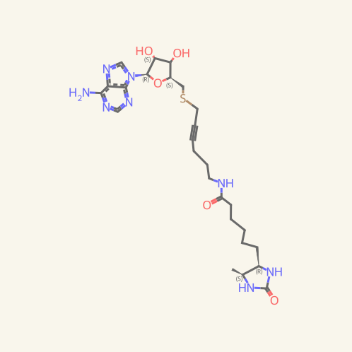 C[C@@H]1NC(=O)N[C@@H]1CCCCCC(=O)NCCCC#CCSC[C@H]1O[C@@H](n2cnc3c(N)ncnc32)[C@@H](O)C1O